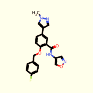 Cn1cc(-c2ccc(OCc3ccc(F)cc3)c(C(=O)Nc3cnoc3)c2)cn1